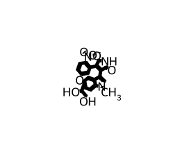 Cn1cc(C2=C(c3cc(OCC(O)CO)ccc3[N+](=O)[O-])C(=O)NC2=O)c2ccccc21